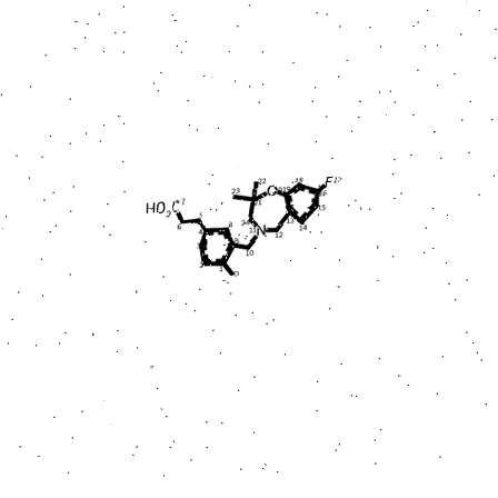 Cc1ccc(CCC(=O)O)cc1CN1Cc2ccc(F)cc2OC(C)(C)C1